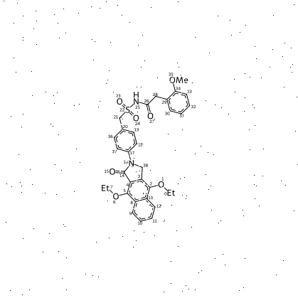 CCOc1c2c(c(OCC)c3ccccc13)C(=O)N(c1ccc(CS(=O)(=O)NC(=O)Cc3ccccc3OC)cc1)C2